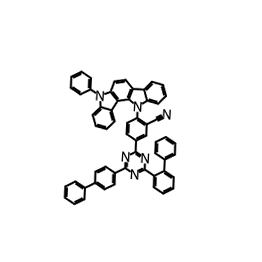 N#Cc1cc(-c2nc(-c3ccc(-c4ccccc4)cc3)nc(-c3ccccc3-c3ccccc3)n2)ccc1-n1c2ccccc2c2ccc3c(c4ccccc4n3-c3ccccc3)c21